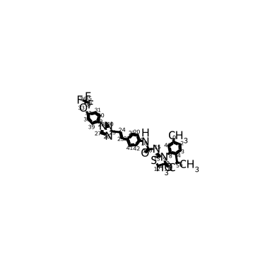 Cc1ccc(C(C)C)c(N2C(=O)CSC2=NC(=O)Nc2ccc(C=Cc3ncn(-c4ccc(OC(F)(F)F)cc4)n3)cc2)c1